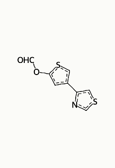 O=COc1cc(-c2cscn2)cs1